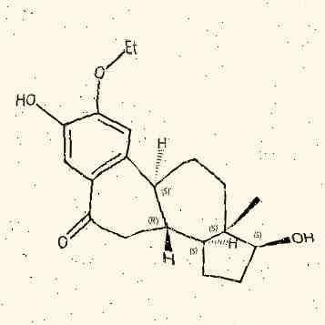 CCOc1cc2c(cc1O)C(=O)C[C@@H]1[C@@H]2CC[C@]2(C)[C@@H](O)CC[C@@H]12